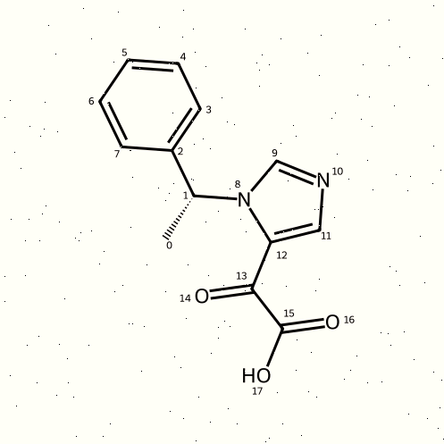 C[C@H](c1ccccc1)n1cncc1C(=O)C(=O)O